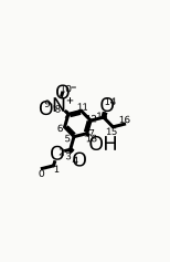 CCOC(=O)c1cc([N+](=O)[O-])cc(C(=O)CC)c1O